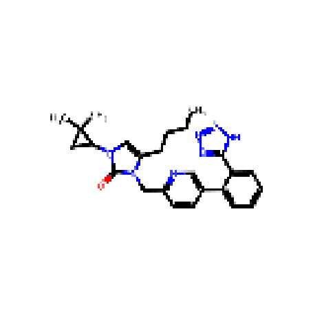 CCCCc1cn(C2CC2(C)C)c(=O)n1Cc1ccc(-c2ccccc2-c2nnn[nH]2)cn1